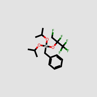 CC(C)O[Si](Cc1ccccc1)(OC(C)C)OC(F)(CF)C(F)(F)F